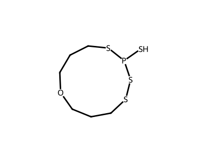 SP1SCCCOCCCSS1